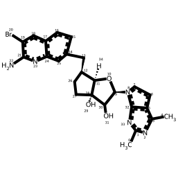 Cc1nc(C)c2ccn([C@@H]3O[C@@H]4[C@H](Cc5ccc6cc(Br)c(N)nc6c5)CC[C@]4(O)C3O)c2n1